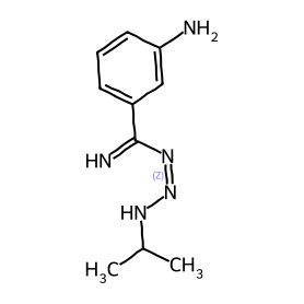 CC(C)N/N=N\C(=N)c1cccc(N)c1